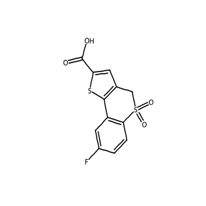 O=C(O)c1cc2c(s1)-c1cc(F)ccc1S(=O)(=O)C2